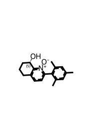 Cc1cc(C)c(-c2ccc3c([n+]2[O-])[C@@H](O)CCC3)c(C)c1